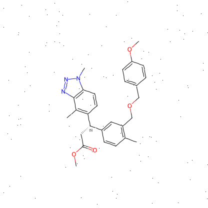 COC(=O)C[C@@H](c1ccc(C)c(COCc2ccc(OC)cc2)c1)c1ccc2c(nnn2C)c1C